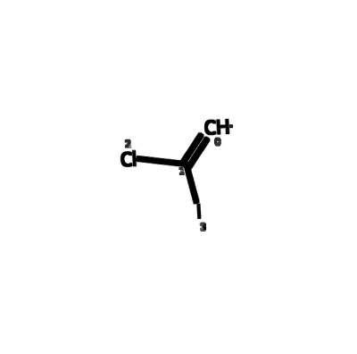 [CH]=C(Cl)I